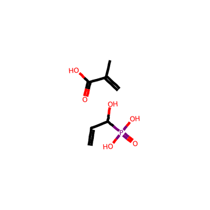 C=C(C)C(=O)O.C=CC(O)P(=O)(O)O